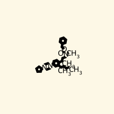 CCCC[C@H](C)c1cc(N2CCN(C3CCCC3)CC2)ccc1[C@H](C)CCN(C)C(=O)OCc1ccccc1